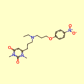 CCN(CCCOc1ccc([N+](=O)[O-])cc1)CCCc1cc(=O)n(C)c(=O)n1C